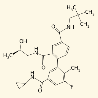 Cc1c(F)cc(C(=O)NC2CC2)cc1-c1ccc(C(=O)NCC(C)(C)C)cc1C(=O)NC[C@@H](C)O